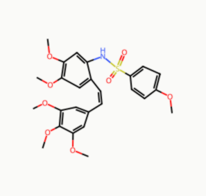 COc1ccc(S(=O)(=O)Nc2cc(OC)c(OC)cc2/C=C\c2cc(OC)c(OC)c(OC)c2)cc1